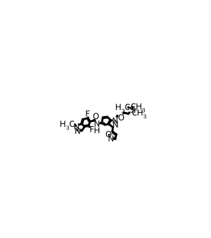 Cn1ncc2c(F)c(C(=O)Nc3ccc4c(c3)c(-c3ccno3)nn4COCC[Si](C)(C)C)c(F)cc21